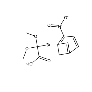 COC(Br)(OC)C(=O)O.O=[N+]([O-])c1ccc2cc1C2